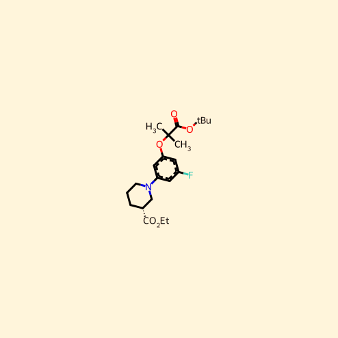 CCOC(=O)[C@@H]1CCCN(c2cc(F)cc(OC(C)(C)C(=O)OC(C)(C)C)c2)C1